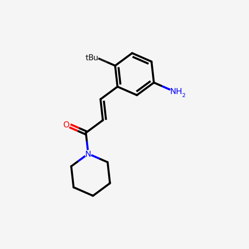 CC(C)(C)c1ccc(N)cc1C=CC(=O)N1CCCCC1